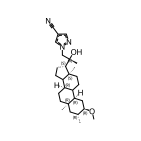 CO[C@@H]1C[C@@H]2C3CC[C@@]4(C)C(CC[C@@H]4[C@@](C)(O)Cn4cc(C#N)cn4)[C@@H]3CC[C@]2(C)C[C@H]1C